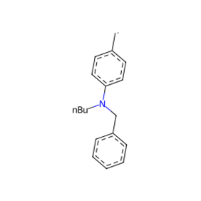 [CH2]c1ccc(N(CCCC)Cc2ccccc2)cc1